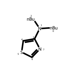 CCCCN(CCCC)c1cs[c]n1